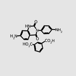 Nc1ccc(-n2c(=O)[nH]c3cc(N)ccc3c2=O)cc1.O=C(O)c1cccc(C(=O)O)c1